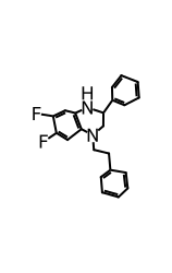 Fc1cc2c(cc1F)N(CCc1ccccc1)CC(c1ccccc1)N2